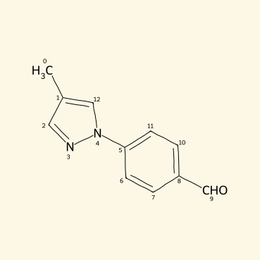 Cc1cnn(-c2ccc(C=O)cc2)c1